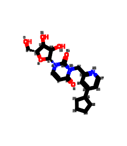 O=c1ccn([C@@H]2O[C@H](CO)C(O)C2O)c(=O)n1Cc1cc(C2CCCC2)ccn1